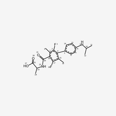 Cc1c(F)c(-c2ccc(NC(C)C)cc2)c(C)c(F)c1C(=O)NC(C)C(=O)O